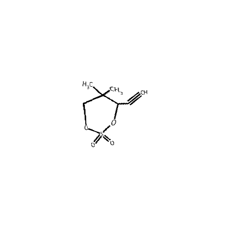 C#CC1OS(=O)(=O)OCC1(C)C